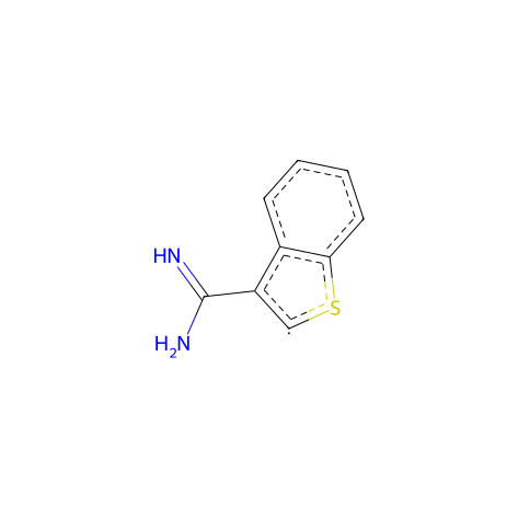 N=C(N)c1[c]sc2ccccc12